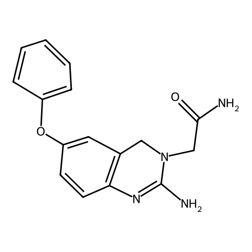 NC(=O)CN1Cc2cc(Oc3ccccc3)ccc2N=C1N